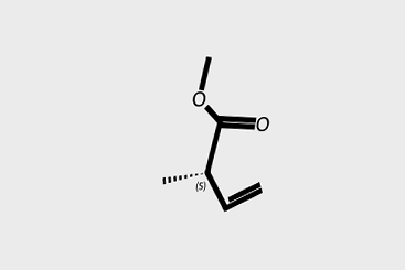 C=C[C@H](C)C(=O)OC